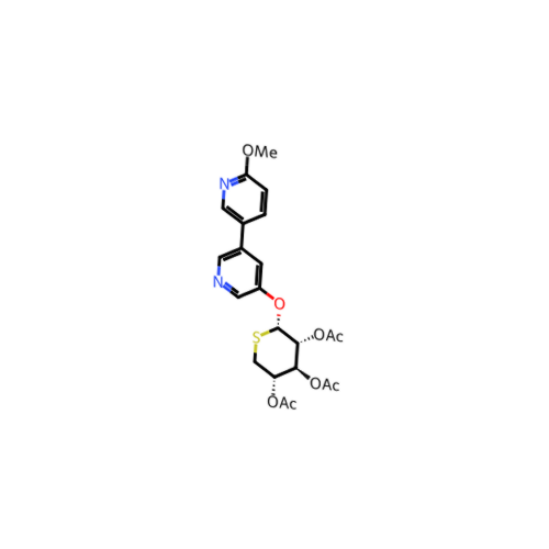 COc1ccc(-c2cncc(O[C@H]3SC[C@@H](OC(C)=O)[C@H](OC(C)=O)[C@H]3OC(C)=O)c2)cn1